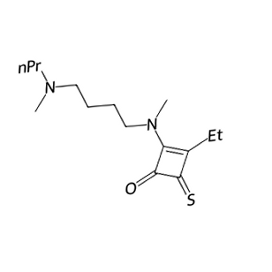 CCCN(C)CCCCN(C)c1c(CC)c(=S)c1=O